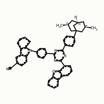 C[C@@H]1C[C@@H]2C[C@H](C)CC(c3ccc(-c4nc(-c5ccc(-n6c7ccccc7c7cc(C#N)ccc76)cc5)nc(-c5cccc6c5oc5ccccc56)n4)cc3)(C1)C2